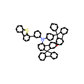 c1ccc(C2(c3ccc(N(c4cccc(-c5cccc6c5sc5ccccc56)c4)c4cccc5c4-c4ccccc4C54c5ccccc5-c5ccccc54)cc3)c3ccccc3-c3ccccc32)cc1